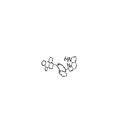 C1=CNC2C(=C1)C=Cc1ccc(-c3ccc(-c4ccc5c6c(cccc46)-c4ccccc4O5)c4ccccc34)nc12